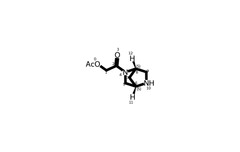 CC(=O)OCC(=O)N1C[C@@H]2C[C@H]1CN2